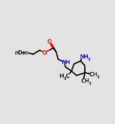 CCCCCCCCCCCCOC(=O)CCNCC1(C)CC(N)CC(C)(C)C1